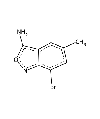 Cc1cc(Br)c2noc(N)c2c1